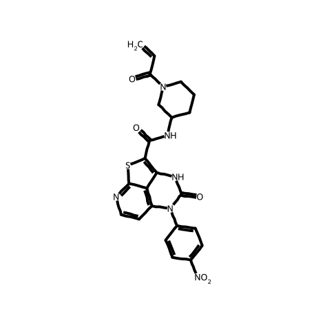 C=CC(=O)N1CCCC(NC(=O)c2sc3nccc4c3c2NC(=O)N4c2ccc([N+](=O)[O-])cc2)C1